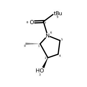 C[C@H]1[C@H](O)CCN1C(=O)C(C)(C)C